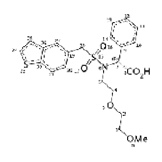 COCCOCCN([C@@H](C(=O)O)c1ccccc1)S(=O)(=O)Cc1ccc2sccc2c1